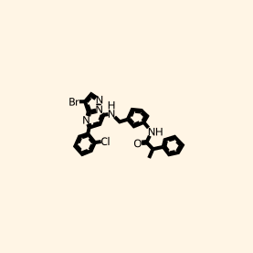 CC(C(=O)Nc1cccc(CNc2cc(-c3ccccc3Cl)nc3c(Br)cnn23)c1)c1ccccc1